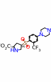 CN1CCN(c2ccc(S(=O)(=O)[C@H]3CN[C@H](C(=O)O)C3)c(C(F)(F)F)c2)CC1